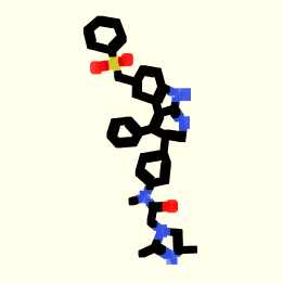 Cc1cn(CC(=O)N(C)c2ccc(-c3cnc4[nH]c5ccc(CS(=O)(=O)c6ccccc6)cc5c4c3-c3ccccc3)cc2)c(C)n1